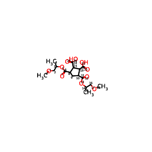 COCC(C)OC(=O)C1CC(C(=O)OC(C)COC)C(C(=O)O)C1C(=O)O